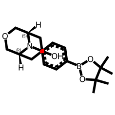 CC1(C)OB(c2ccc(N3[C@@H]4COC[C@H]3CC(O)C4)cc2)OC1(C)C